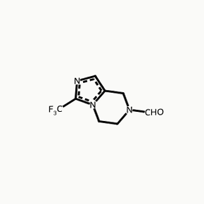 O=CN1CCn2c(cnc2C(F)(F)F)C1